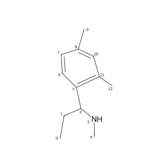 CCC(NC)c1ccc(C)cc1C